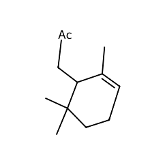 CC(=O)CC1C(C)=CCCC1(C)C